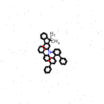 CC1(C)c2ccccc2-c2ccc(N(c3ccccc3-c3ccccc3)c3cccc(-c4ccccc4)c3-c3ccc(-c4ccccc4)cc3)cc21